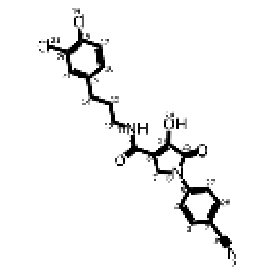 N#Cc1ccc(N2CC(C(=O)NCCCc3ccc(Cl)c(Cl)c3)=C(O)C2=O)cc1